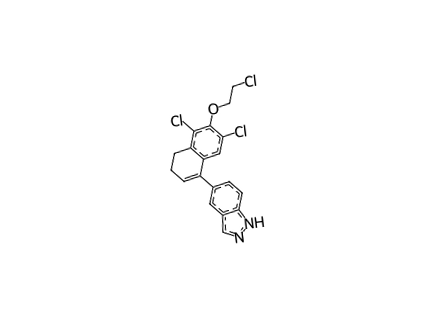 ClCCOc1c(Cl)cc2c(c1Cl)CCC=C2c1ccc2[nH]ncc2c1